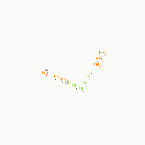 F.F.F.F.F.F.P.P.P.P.P.P